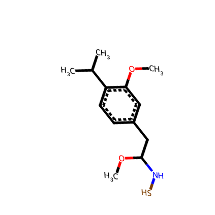 COc1cc(CC(NS)OC)ccc1C(C)C